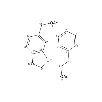 CC(=O)OCCc1ccccc1.CC(=O)OCc1ccc2c(c1)OCO2